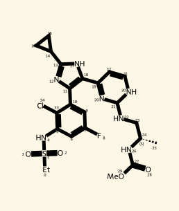 CCS(=O)(=O)Nc1cc(F)cc(-c2nc(C3CC3)[nH]c2C2=NC(NC[C@H](C)NC(=O)OC)NC=C2)c1Cl